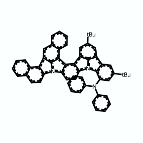 CC(C)(C)c1cc(N(c2ccccc2)c2ccccc2)c2c(c1)c1cc(C(C)(C)C)cc3c4c5c6c7ccccc7cc7c8c9ccccc9ccc8n(c5ccc4n2c13)c76